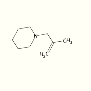 C=C(C)CN1CC[CH]CC1